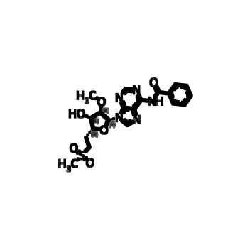 CO[C@@H]1[C@H](O)[C@@H](CCS(C)(=O)=O)O[C@H]1n1cnc2c(NC(=O)c3ccccc3)ncnc21